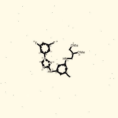 COCC(CNc1cc(C)cc(Nc2ncn(-c3cc(F)cc(F)c3)n2)c1)OC